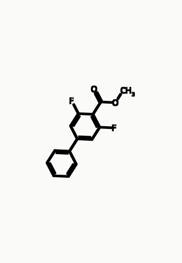 COC(=O)c1c(F)cc(-c2ccccc2)cc1F